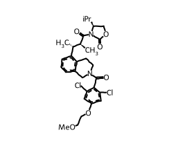 COCCOc1cc(Cl)c(C(=O)N2CCc3c(cccc3[C@H](C)[C@H](C)C(=O)N3C(=O)OC[C@@H]3C(C)C)C2)c(Cl)c1